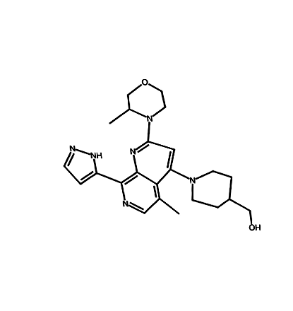 Cc1cnc(-c2ccn[nH]2)c2nc(N3CCOCC3C)cc(N3CCC(CO)CC3)c12